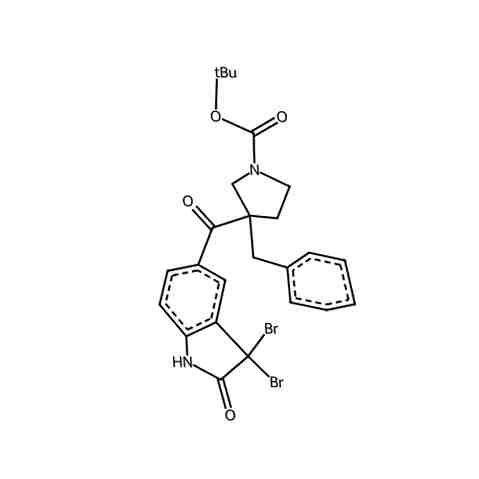 CC(C)(C)OC(=O)N1CCC(Cc2ccccc2)(C(=O)c2ccc3c(c2)C(Br)(Br)C(=O)N3)C1